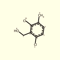 Cc1ccc(Cl)c(CO)c1Cl